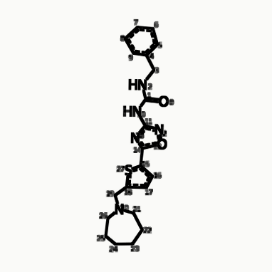 O=C(NCc1ccccc1)Nc1noc(-c2ccc(CN3CCCCCC3)s2)n1